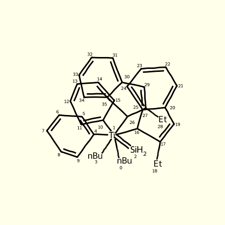 CCC[CH2][Ti](=[SiH2])([CH2]CCC)([c]1ccccc1)([c]1ccccc1)([CH]1C(CC)=Cc2ccccc21)[CH]1C(CC)=Cc2ccccc21